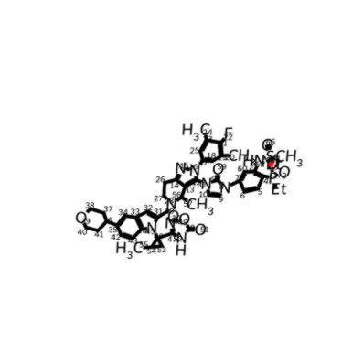 CCP(=O)(CC)c1ccc(-n2ccn(-c3c4c(nn3-c3cc(C)c(F)c(C)c3)CCN(C(=O)c3cc5cc(C6CCOCC6)ccc5n3C3(c5noc(=O)[nH]5)CC3C)C4C)c2=O)cc1NS(C)(=O)=O